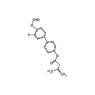 C=C(C)CC(=O)Oc1ccc(-c2ccc(OC=O)c(F)c2)cc1